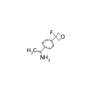 C=C(N)c1ccc(C2(F)COC2)cc1